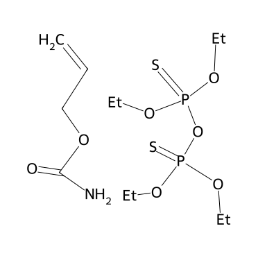 C=CCOC(N)=O.CCOP(=S)(OCC)OP(=S)(OCC)OCC